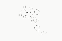 COc1ccc(-c2nc3c4cccc(Br)c4nc(N[C@H]4CNCCNC4=O)n3n2)cc1